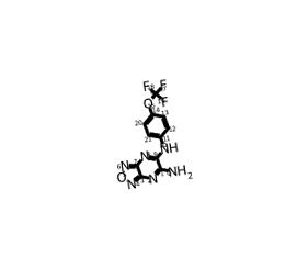 Nc1nc2nonc2nc1Nc1ccc(OC(F)(F)F)cc1